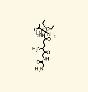 CCOC(N)(NC(=O)CCC(N)C(=O)CNC(=O)CN)C(N)(SCC)C(C)=O